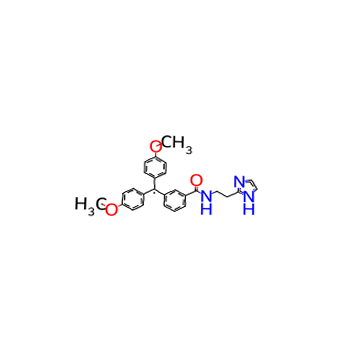 COc1ccc([C](c2ccc(OC)cc2)c2cccc(C(=O)NCCc3ncc[nH]3)c2)cc1